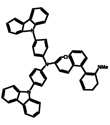 C/C=C(\C=C/c1ccccc1C1=C(NC)CCC=C1)N(c1ccc(-n2c3ccccc3c3ccccc32)cc1)c1ccc(-n2c3ccccc3c3ccccc32)cc1